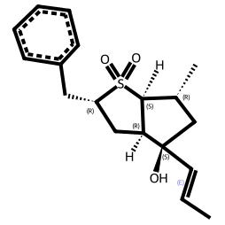 C/C=C/[C@@]1(O)C[C@@H](C)[C@H]2[C@@H]1C[C@H](Cc1ccccc1)S2(=O)=O